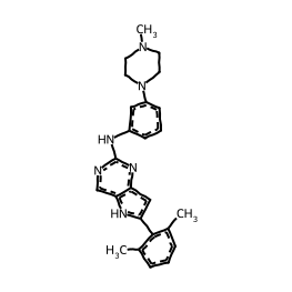 Cc1cccc(C)c1-c1cc2nc(Nc3cccc(N4CCN(C)CC4)c3)ncc2[nH]1